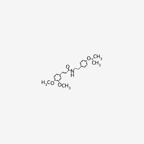 COc1ccc(C=CC(=O)NCCc2ccc(OC(C)C)cc2)cc1OC